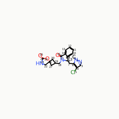 Cn1ncc(Cl)c1CC1c2ccccc2C(=O)N1CC1CC2(CNC(=O)O2)C1